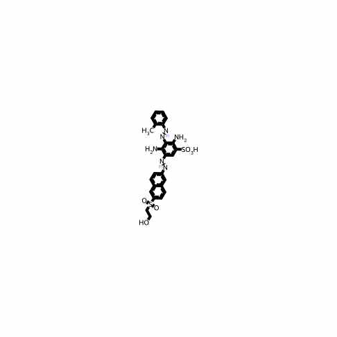 Cc1ccccc1/N=N/c1c(N)c(/N=N/c2ccc3cc(S(=O)(=O)CCO)ccc3c2)cc(S(=O)(=O)O)c1N